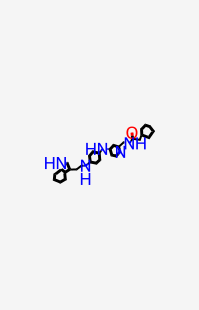 O=C(Cc1ccccc1)NCc1cc(Nc2ccc(NCCc3c[nH]c4ccccc34)cc2)ccn1